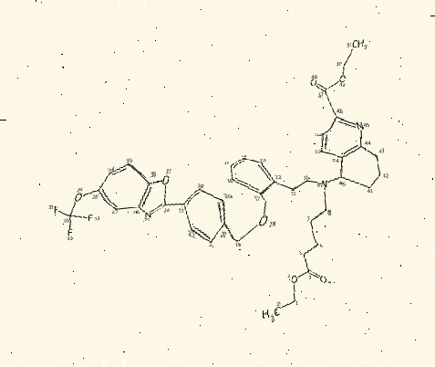 CCOC(=O)CCCCN(CCc1ccccc1OCc1ccc(-c2nc3cc(OC(F)(F)F)ccc3o2)cc1)C1CCCc2nc(C(=O)OCC)ccc21